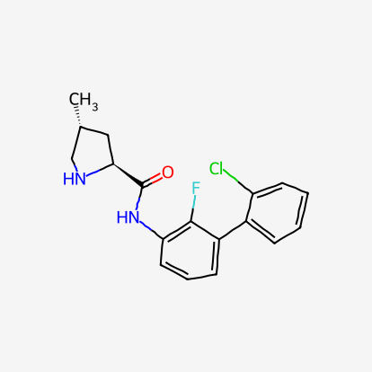 C[C@H]1CN[C@H](C(=O)Nc2cccc(-c3ccccc3Cl)c2F)C1